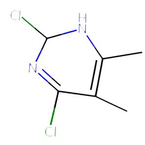 CC1=C(C)C(Cl)=NC(Cl)N1